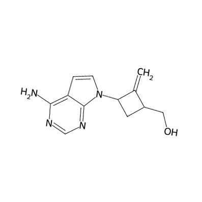 C=C1C(CO)CC1n1ccc2c(N)ncnc21